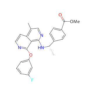 COC(=O)c1ccc([C@H](C)Nc2ncc(C)c3ccnc(Oc4cccc(F)c4)c23)cc1